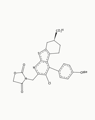 COc1ccc(-c2c(Cl)c(CN3C(=O)COC3=O)nc3sc4c(c23)CC[C@H](C(=O)O)C4)cc1